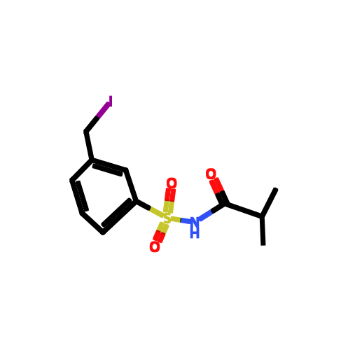 CC(C)C(=O)NS(=O)(=O)c1cccc(CI)c1